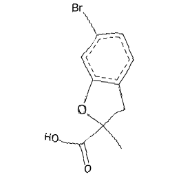 CC1(C(=O)O)Cc2ccc(Br)cc2O1